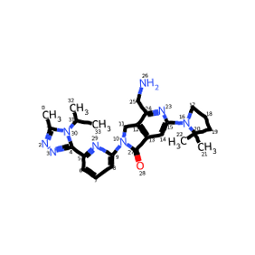 Cc1nnc(-c2cccc(N3Cc4c(cc(N5CCCC5(C)C)nc4CN)C3=O)n2)n1C(C)C